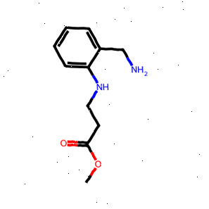 COC(=O)CCNc1ccccc1CN